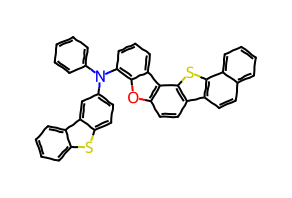 c1ccc(N(c2ccc3sc4ccccc4c3c2)c2cccc3c2oc2ccc4c5ccc6ccccc6c5sc4c23)cc1